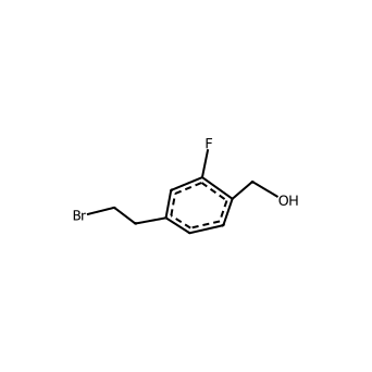 OCc1ccc(CCBr)cc1F